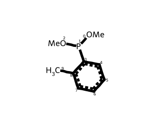 COP(OC)c1ccccc1C